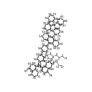 CCCCCCC1(CCCCCC)c2cc(-c3c4ccccc4c(-c4ccc5c(c4)C(c4ccccc4)(c4ccccc4)c4ccccc4-5)c4ccccc34)ccc2-c2ccc(N(c3ccc(C)c4ccccc34)c3ccc(C)c4ccccc34)cc21